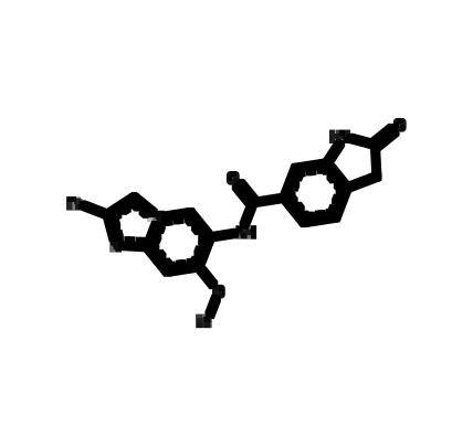 CCOc1cc2nc(CC)cn2cc1NC(=O)c1ccc2c(c1)NC(=O)C2